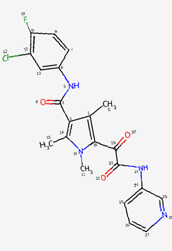 Cc1c(C(=O)Nc2ccc(F)c(Cl)c2)c(C)n(C)c1C(=O)C(=O)Nc1cccnc1